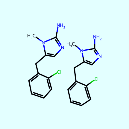 Cn1c(Cc2ccccc2Cl)cnc1N.Cn1c(Cc2ccccc2Cl)cnc1N